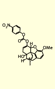 COc1ccc2c3c1O[C@H]1C(OC(=O)Oc4ccc([N+](=O)[O-])cc4)=CC[C@@]4(O)[C@@H](C2)N(C)CC[C@]314